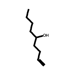 C=CCCC(O)CCCC